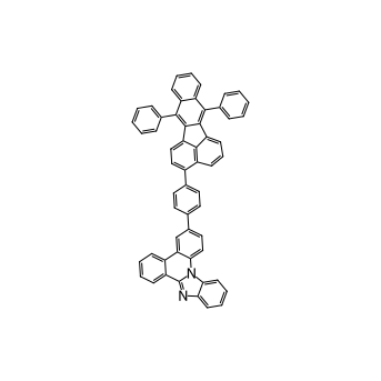 c1ccc(-c2c3c(c(-c4ccccc4)c4ccccc24)-c2ccc(-c4ccc(-c5ccc6c(c5)c5ccccc5c5nc7ccccc7n65)cc4)c4cccc-3c24)cc1